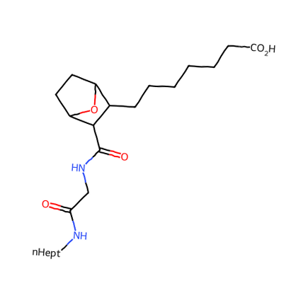 CCCCCCCNC(=O)CNC(=O)C1C2CCC(O2)C1CCCCCCC(=O)O